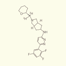 [2H]C([2H])([C@@H]1CCCCO1)N1C[C@H]2CC(Nc3ccc(-c4cc(F)cc(F)c4F)nn3)C[C@H]2C1